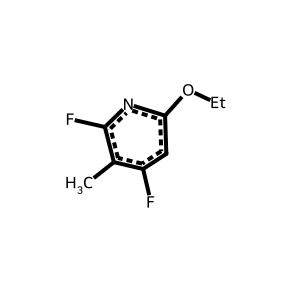 CCOc1cc(F)c(C)c(F)n1